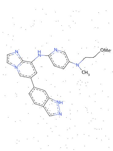 COCCN(C)c1ccc(Nc2cc(-c3ccc4cn[nH]c4c3)cn3ccnc23)nc1